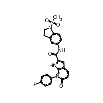 CS(=O)(=O)N1CCc2cc(NC(=O)c3cc4ccc(=O)n(-c5ccc(F)cc5)c4[nH]3)ccc21